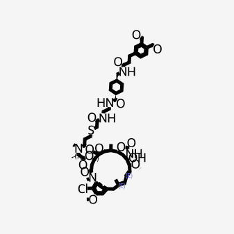 COc1cc2cc(c1Cl)N(C)C(=O)C[C@H](OC(=O)[C@H](C)N(C)C(=O)CCSCC(=O)NCCNC(=O)[C@H]1CC[C@H](CNC(=O)CCc3ccc(C=O)c(C=O)c3)CC1)C1(C)OC1C(C)C1CC(O)(NC(=O)O1)C(OC)/C=C/C=C(\C)C2